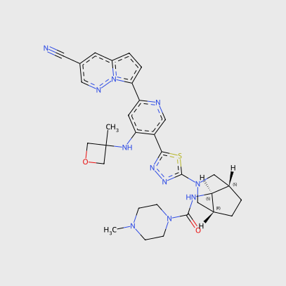 CN1CCN(C(=O)N[C@@H]2[C@@H]3CC[C@H]2CN(c2nnc(-c4cnc(-c5ccc6cc(C#N)cnn56)cc4NC4(C)COC4)s2)C3)CC1